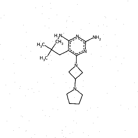 CC(C)(C)Cc1c(N)nc(N)nc1N1CC(N2CCCC2)C1